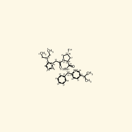 CCN(CC)c1cnnn1CC(=O)N1C[C@H](F)C[C@H]1C(=O)N[C@@H](c1ccccc1)c1ccc(C(C)C)cn1